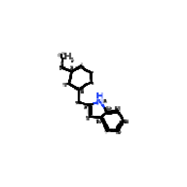 CCC1CCCC(Cc2cc3ccccc3[nH]2)C1